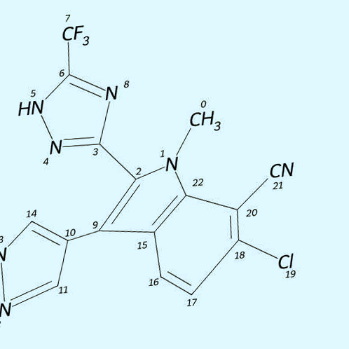 Cn1c(-c2n[nH]c(C(F)(F)F)n2)c(-c2cn[nH]c2)c2ccc(Cl)c(C#N)c21